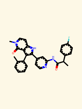 Cc1ccccc1-c1c(-c2ccnc(NC(=O)C(C)c3ccc(F)cc3)c2)[nH]c2ccn(C)c(=O)c12